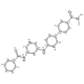 CN(C)C(=O)c1ccc(-c2ccc(Nc3cncc(NC(=O)c4ccccc4)c3)nc2)cc1